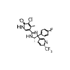 Cc1c(C2=NC(c3ccc(F)cc3)(c3ccc(C(F)(F)F)nc3)[C@H](C)N2)c[nH]c(=O)c1Cl